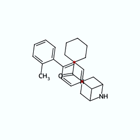 Cc1ccccc1-c1ccc(C2C3CN(C(=O)C4CCCCC4)CC2N3)cc1